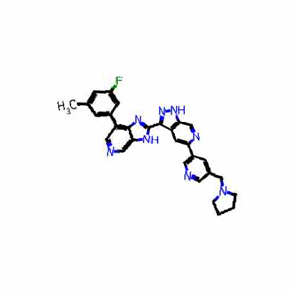 Cc1cc(F)cc(-c2cncc3[nH]c(-c4n[nH]c5cnc(-c6cncc(CN7CCCC7)c6)cc45)nc23)c1